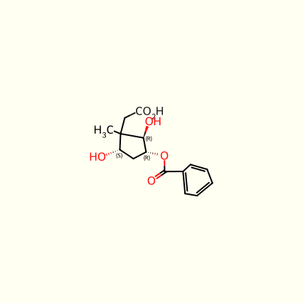 CC1(CC(=O)O)[C@@H](O)C[C@@H](OC(=O)c2ccccc2)[C@@H]1O